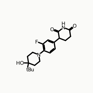 CC(C)(C)C1(O)CCN(c2ccc(C3CCC(=O)NC3=O)cc2F)CC1